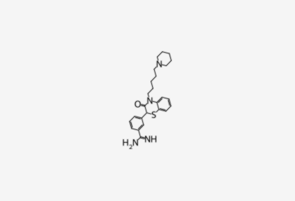 N=C(N)c1cccc(C2Sc3ccccc3N(CCCCCN3CCCCC3)C2=O)c1